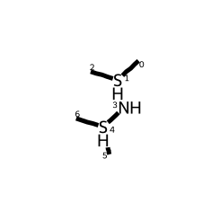 C[SH](C)N[SH](C)C